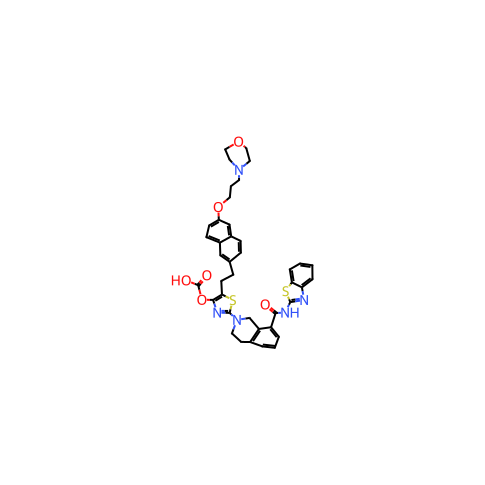 O=C(O)Oc1nc(N2CCc3cccc(C(=O)Nc4nc5ccccc5s4)c3C2)sc1CCc1ccc2cc(OCCCN3CCOCC3)ccc2c1